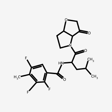 Cc1c(F)cc(C(=O)NC(CC(C)C)C(=O)N2CCC3OCC(=O)C32)c(F)c1F